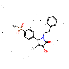 CC(=O)C1=C(O)C(=O)N(CCc2ccccc2)C1c1ccc(S(C)(=O)=O)cc1